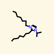 CCCCCCCc1n(C(C)C)cc[n+]1CCCCCCC